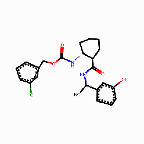 N#CC(NC(=O)[C@@H]1CCCC[C@H]1NC(=O)OCc1cccc(Cl)c1)c1cccc(O)c1